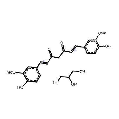 COc1cc(/C=C/C(=O)CC(=O)/C=C/c2ccc(O)c(OC)c2)ccc1O.OCC(O)CO